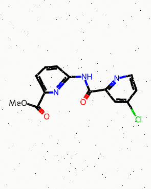 COC(=O)c1cccc(NC(=O)c2cc(Cl)ccn2)n1